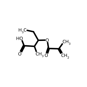 C=C(C)C(=O)OC(CC)C(C)C(=O)O